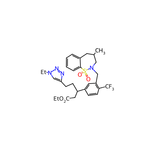 CCOC(=O)CC(CCc1cn(CC)nn1)c1ccc(C(F)(F)F)c(CN2CC(C)Cc3ccccc3S2(=O)=O)c1